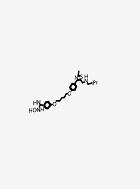 Cc1nc(-c2ccc(OCCCCCOc3ccc(C(=N)NO)cc3)cc2)c(CNCC(C)C)s1